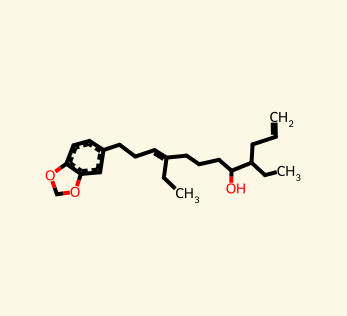 C=CCC(CC)C(O)CCC/C(=C/CCc1ccc2c(c1)OCO2)CC